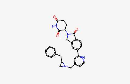 O=C1CCC(N2Cc3cc(-c4cc(C[N@@]5CC5Cc5ccccc5)ccn4)ccc3C2=O)C(=O)N1